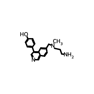 CN(CCCN)Cc1ccc2cncc(-c3ccc(O)cc3)c2c1